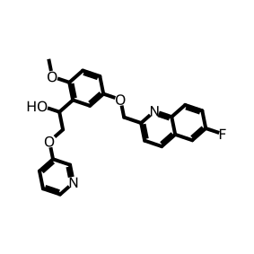 COc1ccc(OCc2ccc3cc(F)ccc3n2)cc1C(O)COc1cccnc1